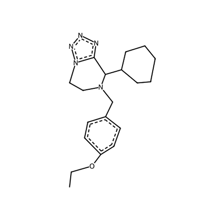 CCOc1ccc(CN2CCn3nnnc3C2C2CCCCC2)cc1